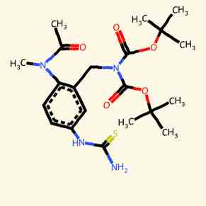 CC(=O)N(C)c1ccc(NC(N)=S)cc1CN(C(=O)OC(C)(C)C)C(=O)OC(C)(C)C